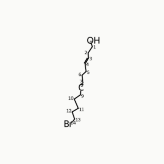 OCC/C=C/CCCCCCCCCBr